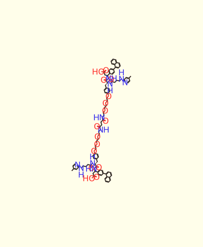 Cc1ccnc(NCCCC(=O)N[C@@H](Cc2ccc(OCCOCCOCCNC(=O)CCC(=O)NCCOCCOCCOc3ccc(C[C@H](NC(=O)CCCNc4cc(C)ccn4)C(=O)NC(CC(=O)O)c4ccc(-c5cccc6ccccc56)cc4)cc3)cc2)C(=O)NC(CC(=O)O)c2ccc(-c3cccc4ccccc34)cc2)c1